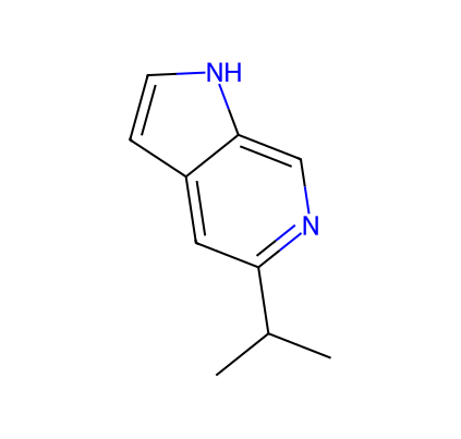 CC(C)c1cc2cc[nH]c2cn1